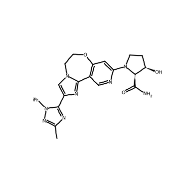 Cc1nc(-c2cn3c(n2)-c2cnc(N4CC[C@@H](O)[C@H]4C(N)=O)cc2OCC3)n(C(C)C)n1